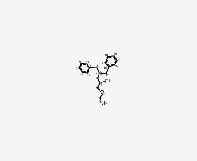 [2H]COC[C@H](F)CN(Cc1ccccc1)Cc1ccccc1